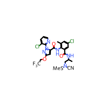 CSN(C#N)CC(C)NC(=O)c1cc(Cl)cc(C)c1NC(=O)c1cc(OCC(F)(F)F)nn1-c1ncccc1Cl